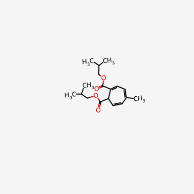 CC1=CC=C(C(=O)OCC(C)C)C(C(=O)OCC(C)C)C=C1